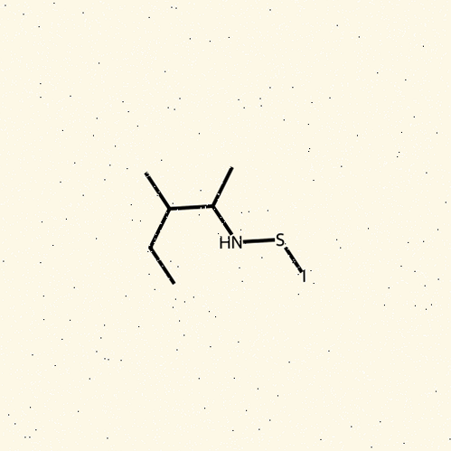 CCC(C)C(C)NSI